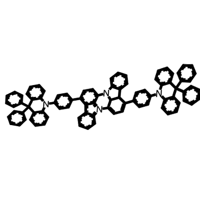 C1=C(c2ccc(N3c4ccccc4C(c4ccccc4)(c4ccccc4)c4ccccc43)cc2)C2c3ccccc3N3c4ccc(-c5ccc(N6c7ccccc7C(c7ccccc7)(c7ccccc7)c7ccccc76)cc5)c5c6ccccc6n(c45)C(=C1)C23